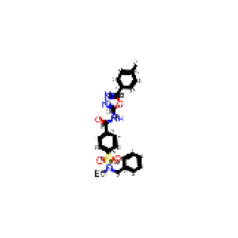 CCN(Cc1ccccc1)S(=O)(=O)c1ccc(C(=O)Nc2nnc(-c3ccc(C)cc3)o2)cc1